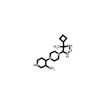 CC1(C2CCC2)NONC1N1CCN(C2CCNCC2N)CC1